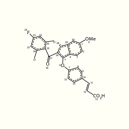 COc1ccc2c(Oc3ccc(/C=C/C(=O)O)cc3)c(C(=O)c3c(C)cc(F)cc3C)sc2c1